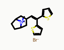 C[N+]1(C)C2CCC1CC(C=C(c1cccs1)c1cccs1)C2.[Br-]